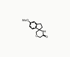 COc1ccc2c(c1)CCC21COCC(=O)N1